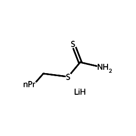 CCCCSC(N)=S.[LiH]